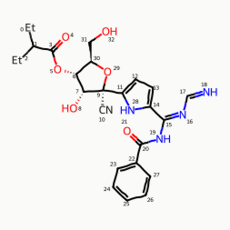 CCC(CC)C(=O)O[C@H]1[C@@H](O)[C@](C#N)(c2ccc(/C(=N\C=N)NC(=O)c3ccccc3)[nH]2)O[C@@H]1CO